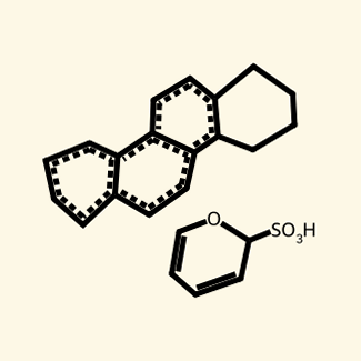 O=S(=O)(O)C1C=CC=CO1.c1ccc2c(c1)ccc1c3c(ccc12)CCCC3